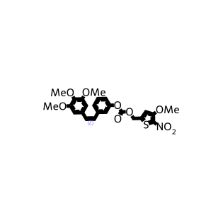 COc1cc(COC(=O)Oc2cccc(/C=C\c3cc(OC)c(OC)c(OC)c3)c2)sc1[N+](=O)[O-]